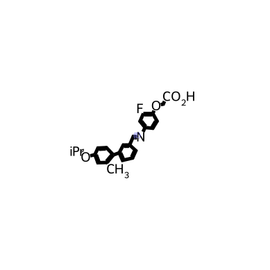 Cc1cc(OC(C)C)ccc1-c1cccc(/C=N/c2ccc(OCC(=O)O)c(F)c2)c1